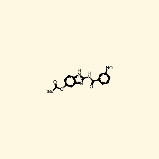 CC(C)(C)C(=O)Oc1ccc2[nH]c(NC(=O)c3cccc(N=O)c3)nc2c1